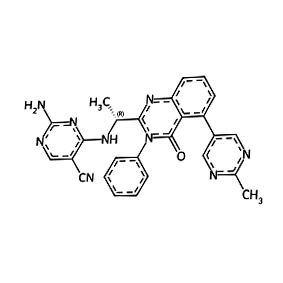 Cc1ncc(-c2cccc3nc([C@@H](C)Nc4nc(N)ncc4C#N)n(-c4ccccc4)c(=O)c23)cn1